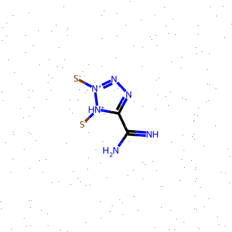 N=C(N)C1=NN=[N+]([S-])[NH+]1[S-]